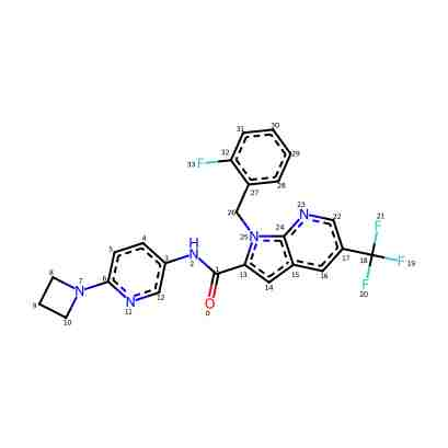 O=C(Nc1ccc(N2CCC2)nc1)c1cc2cc(C(F)(F)F)cnc2n1Cc1ccccc1F